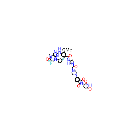 COc1cc(C(=O)N[C@H]2CCN(C(=O)CN3CCN(c4ccc5c(c4)C(=O)N(C4CCC(=O)NC4=O)C5=O)CC3)C2)c(F)cc1Nc1ncc2c(n1)N(C1CCCC1)CC(F)(F)C(=O)N2C